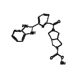 CC(C)(C)OC(=O)N1CC2CN(C(=O)c3cccc(C4Nc5ccccc5N4)n3)CC2C1